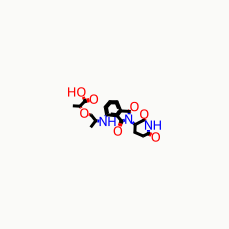 CC(COC(C)C(=O)O)Nc1cccc2c1C(=O)N(C1CCC(=O)NC1=O)C2=O